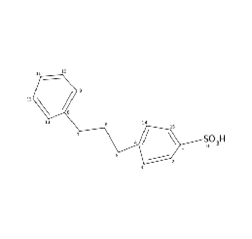 O=S(=O)(O)c1ccc(CCCc2ccccc2)cc1